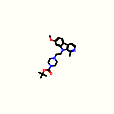 COc1ccc2c3ccnc(C)c3n(CCN3CCN(C(=O)OC(C)(C)C)CC3)c2c1